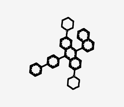 c1ccc(-c2ccc(-c3c4cc(N5CCCCC5)ccc4c(-c4cccc5ccccc45)c4cc(N5CCCCC5)ccc34)cc2)cc1